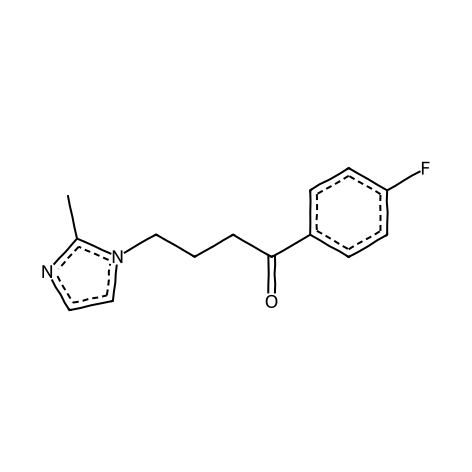 Cc1nccn1CCCC(=O)c1ccc(F)cc1